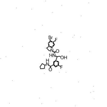 O=C(NC1CCCC1)c1cc(F)cc(C(CO)NC(=O)N2CCc3cc(Br)c(F)cc32)c1